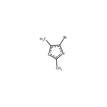 Cc1nc(Br)c(C)s1